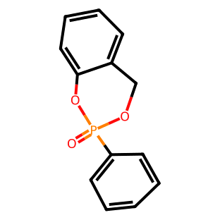 O=P1(c2ccccc2)OCc2ccccc2O1